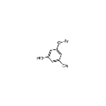 Oc1cc(O)cc(OBr)c1